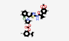 CC(C)[C@H]1CC[C@H](C)CC1OC(=O)O[C@@H]1CCN([C@@H](c2cnc(NC(=O)C3(c4ccc5c(c4)OCO5)CC3)s2)c2ccccc2Cl)C1